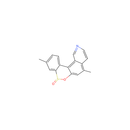 Cc1ccc2c(c1)S(=O)Oc1cc(C)c3ccncc3c1-2